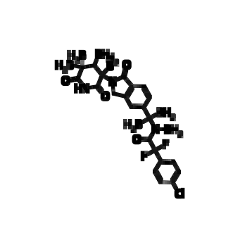 BC1C(B)(B)C(=O)NC(=O)C1(B)N1Cc2cc(C(B)(B)N(B)C(=O)C(F)(F)c3ccc(Cl)cc3)ccc2C1=O